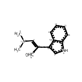 CN(C)C=C(C=O)c1c[nH]c2ccccc12